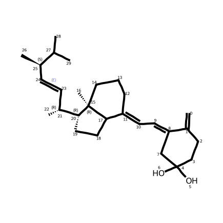 C=C1CCC(O)(O)CC1=CC=C1CCC[C@@]2(C)C1CC[C@@H]2[C@H](C)/C=C/[C@@H](C)C(C)C